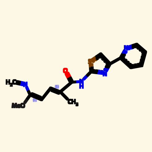 C=N/C(=C\C=C(/C)C(=O)Nc1nc(-c2ccccn2)cs1)OC